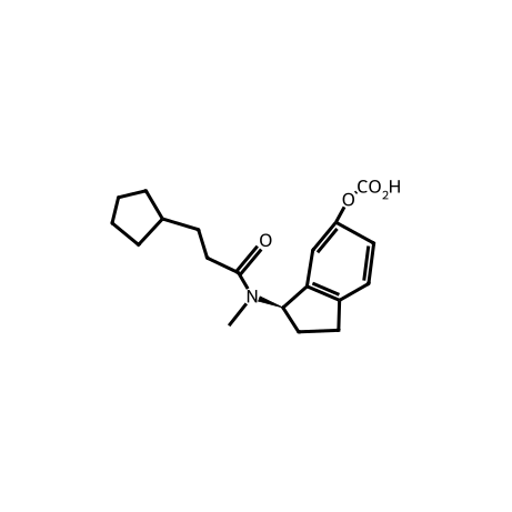 CN(C(=O)CCC1CCCC1)[C@@H]1CCc2ccc(OC(=O)O)cc21